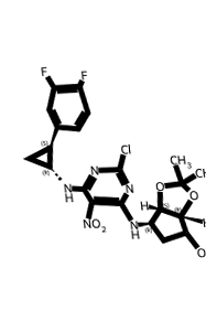 CC1(C)O[C@@H]2[C@H](O1)C(O)C[C@H]2Nc1nc(Cl)nc(N[C@@H]2C[C@H]2c2ccc(F)c(F)c2)c1[N+](=O)[O-]